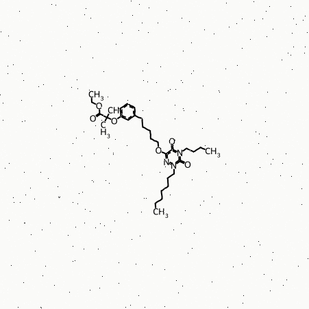 CCCCCCCn1nc(OCCCCCc2cccc(OC(C)(C)C(=O)OCC)c2)c(=O)n(CCCC)c1=O